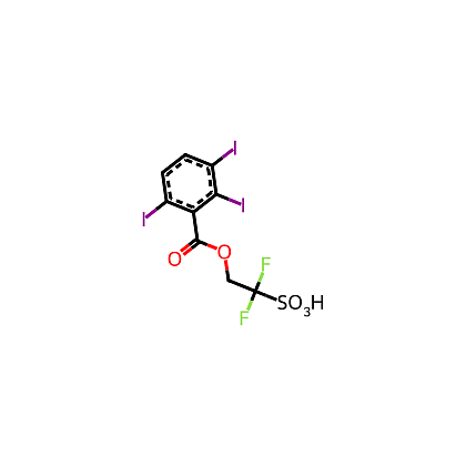 O=C(OCC(F)(F)S(=O)(=O)O)c1c(I)ccc(I)c1I